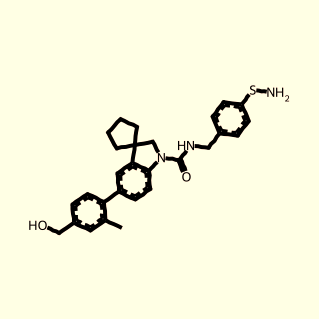 Cc1cc(CO)ccc1-c1ccc2c(c1)C1(CCCC1)CN2C(=O)NCc1ccc(SN)cc1